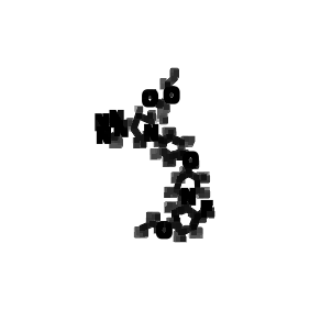 CCOC(=O)C[C@H]1C[C@@H](n2cnnn2)CN1c1ccc(OC2CCN(c3cc(OCC)ccc3F)CC2)cc1